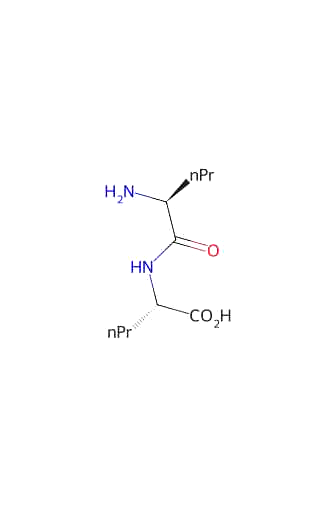 CCC[C@H](NC(=O)[C@@H](N)CCC)C(=O)O